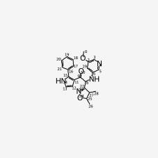 COc1cncc(NC(C(=O)c2cc[nH]c2-c2ccccc2)C2=NOC(C)C2C)c1